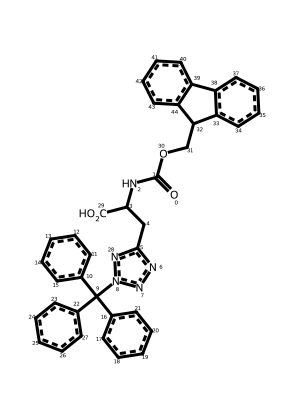 O=C(NC(Cc1nnn(C(c2ccccc2)(c2ccccc2)c2ccccc2)n1)C(=O)O)OCC1c2ccccc2-c2ccccc21